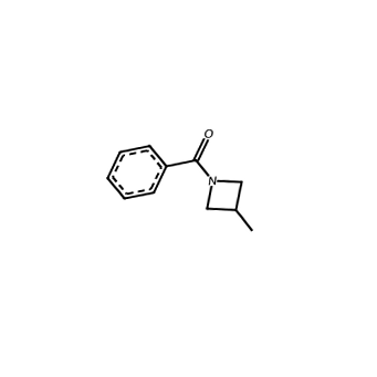 CC1CN(C(=O)c2ccccc2)C1